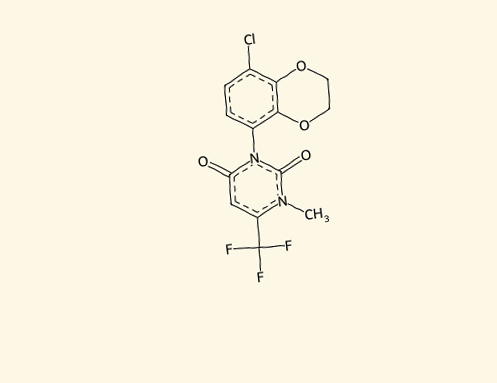 Cn1c(C(F)(F)F)cc(=O)n(-c2ccc(Cl)c3c2OCCO3)c1=O